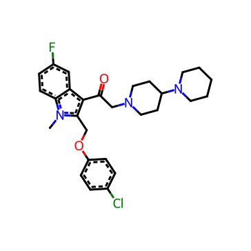 Cn1c(COc2ccc(Cl)cc2)c(C(=O)CN2CCC(N3CCCCC3)CC2)c2cc(F)ccc21